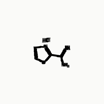 Cl.N=C(N)c1ncco1